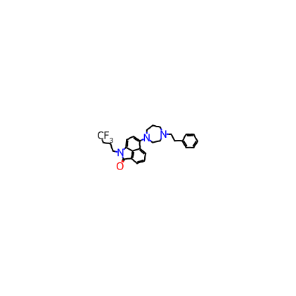 O=C1c2cccc3c(N4CCCN(CCc5ccccc5)CC4)ccc(c23)N1CCCC(F)(F)F